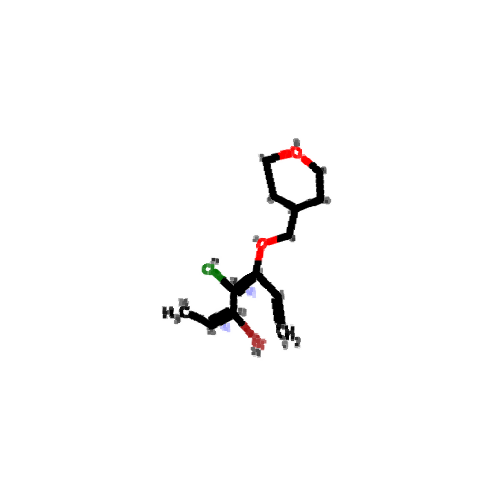 C=C/C(OCC1CCOCC1)=C(Cl)\C(Br)=C/C